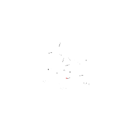 C=CCN(CC=C)c1cc(O[Si](C)(C)C(C)(C)C)cc([C@](O)(O[Si](C)(C)CCCC)C(C)CC(OC)C(OC)C(C)C=C(C)CC(C=C)OC)c1